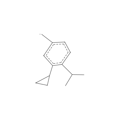 [CH2]c1ccc(C(C)C)c(C2CC2)c1